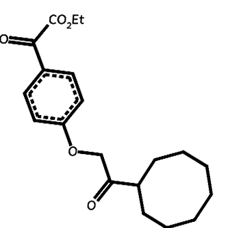 CCOC(=O)C(=O)c1ccc(OCC(=O)C2CCCCCCC2)cc1